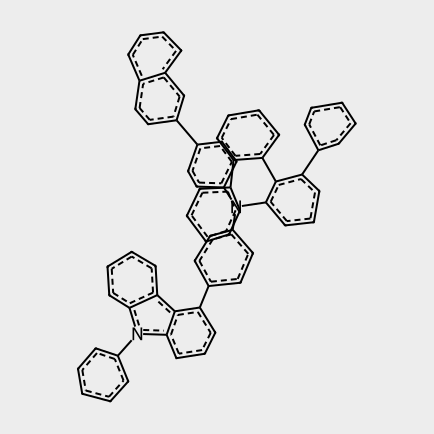 c1ccc(-c2ccccc2-c2c(-c3ccccc3)cccc2N(c2ccc(-c3ccc4ccccc4c3)cc2)c2ccc(-c3cccc4c3c3ccccc3n4-c3ccccc3)cc2)cc1